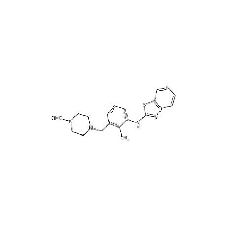 Cc1c(CN2CCN(C=O)CC2)cccc1Nc1nc2ccncc2s1